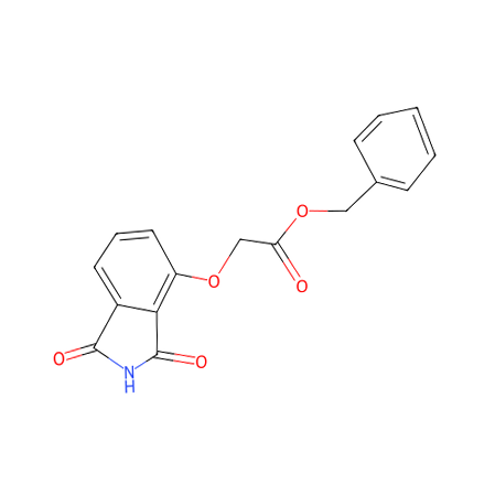 O=C(COc1cccc2c1C(=O)NC2=O)OCc1ccccc1